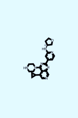 c1cc(-c2nc(N3CCNCC3)c3c(C4CC4)cncc3n2)cc(N[C@H]2CCOC2)n1